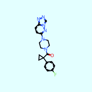 O=C(N1CCN(c2ccc3nncn3n2)CC1)C1(c2ccc(F)cc2)CC1